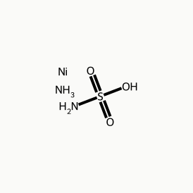 N.NS(=O)(=O)O.[Ni]